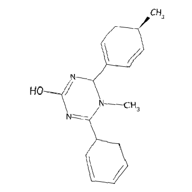 C[C@H]1C=CC(C2N=C(O)N=C(C3C=CC=CC3)N2C)=CC1